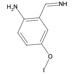 N=Cc1cc(OI)ccc1N